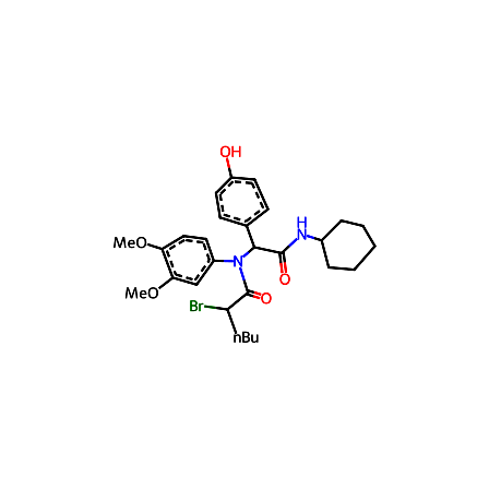 CCCCC(Br)C(=O)N(c1ccc(OC)c(OC)c1)C(C(=O)NC1CCCCC1)c1ccc(O)cc1